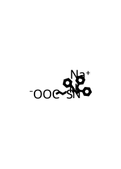 O=C([O-])CCCSc1nc(-c2ccccc2)c(-c2ccccc2)n1-c1ccccc1.[Na+]